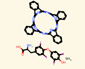 NC(Cc1cc(I)c(Oc2cc(I)c(O)c(I)c2)c(I)c1)C(=O)O.[SiH4].c1ccc2c(c1)-c1nc-2nc2[nH]c(nc3nc(nc4[nH]c(n1)c1ccccc41)-c1ccccc1-3)c1ccccc21